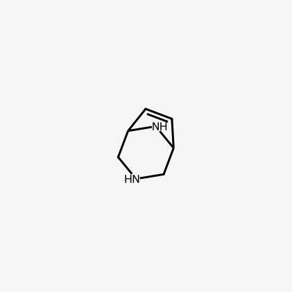 C1=CC2CNCC1N2